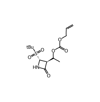 C=CCOC(=O)OC(C)[C@H]1C(=O)N[C@@H]1S(=O)(=O)C(C)(C)C